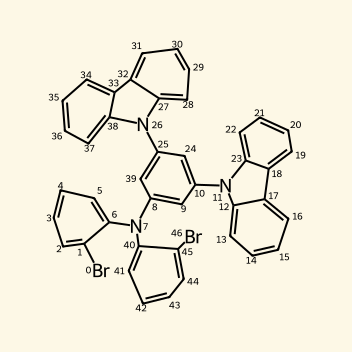 Brc1ccccc1N(c1cc(-n2c3ccccc3c3ccccc32)cc(-n2c3ccccc3c3ccccc32)c1)c1ccccc1Br